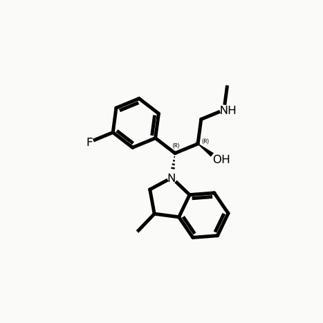 CNC[C@@H](O)[C@@H](c1cccc(F)c1)N1CC(C)c2ccccc21